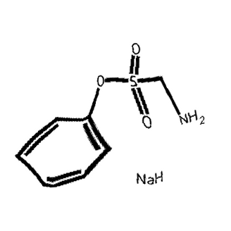 NCS(=O)(=O)Oc1ccccc1.[NaH]